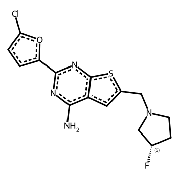 Nc1nc(-c2ccc(Cl)o2)nc2sc(CN3CC[C@H](F)C3)cc12